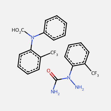 NC(=O)N(N)c1ccccc1C(F)(F)F.O=C(O)N(c1ccccc1)c1ccccc1C(F)(F)F